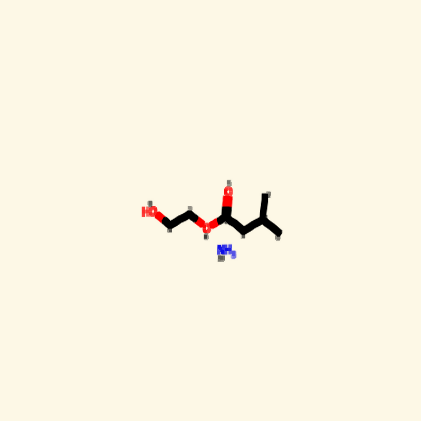 CC(C)CC(=O)OCCO.N